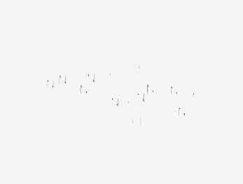 Cc1cc(-n2nc(OC[C@H](C)Cn3nc(Cl)c4cnc(Cl)nc43)c([N+](=O)[O-])c2C)n(C)n1